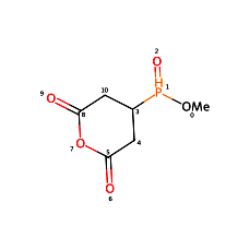 CO[PH](=O)C1CC(=O)OC(=O)C1